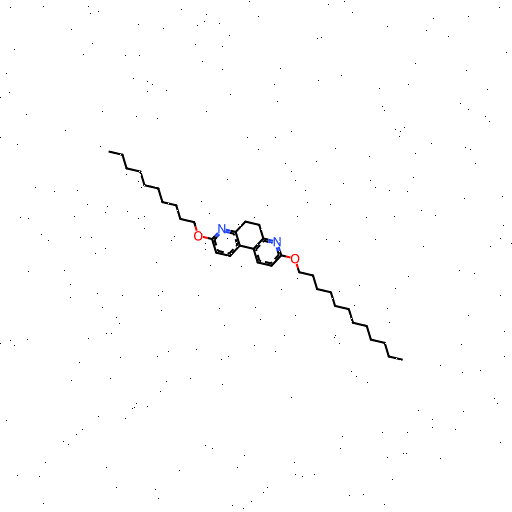 CCCCCCCCCCCCOc1ccc2c(n1)CCc1nc(OCCCCCCCCCC)ccc1-2